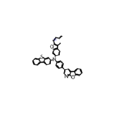 C=C/C=C\c1oc2cc(N(c3ccc(-c4cnc5oc6ccccc6c5c4)cc3)c3ccc4c(c3)sc3ccccc34)ccc2c1C